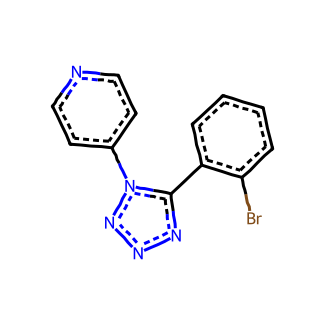 Brc1ccccc1-c1nnnn1-c1ccncc1